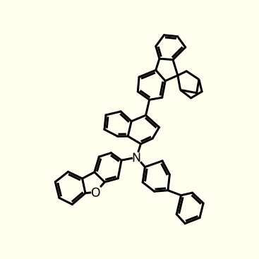 c1ccc(-c2ccc(N(c3ccc4c(c3)oc3ccccc34)c3ccc(-c4ccc5c(c4)C4(CC6CCC4C6)c4ccccc4-5)c4ccccc34)cc2)cc1